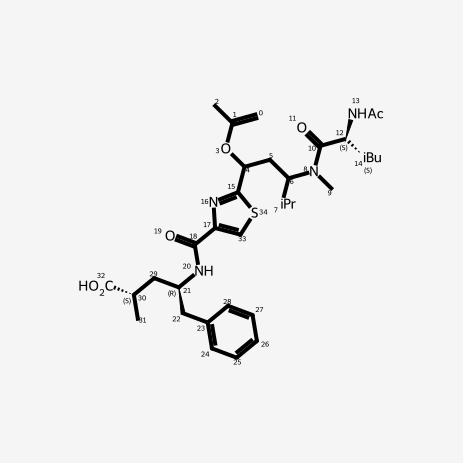 C=C(C)OC(CC(C(C)C)N(C)C(=O)[C@@H](NC(C)=O)[C@@H](C)CC)c1nc(C(=O)N[C@@H](Cc2ccccc2)C[C@H](C)C(=O)O)cs1